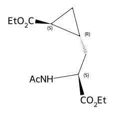 CCOC(=O)[C@H](C[C@H]1C[C@@H]1C(=O)OCC)NC(C)=O